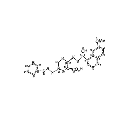 COc1ccc2nccc([C@@H](O)CC[C@@H]3CCN(CCSc4cccnc4)C[C@@H]3C(=O)O)c2c1